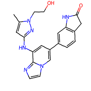 Cc1cc(Nc2cc(-c3ccc4c(c3)NC(=O)C4)cn3ccnc23)nn1CCO